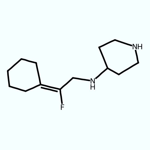 FC(CNC1CCNCC1)=C1CCCCC1